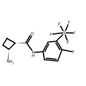 N[C@@H]1CC[C@@H]1C(=O)Nc1ccc(F)c(S(F)(F)(F)(F)F)c1